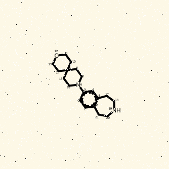 c1cc2c(cc1N1CCC3(CCOCC3)CC1)CCNCC2